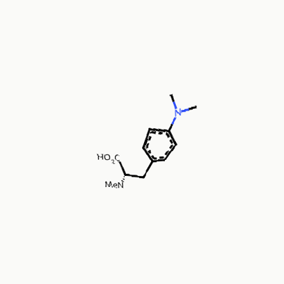 CN[C@@H](Cc1ccc(N(C)C)cc1)C(=O)O